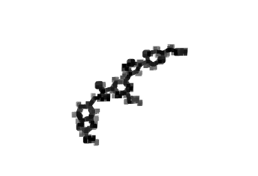 Cc1nc(C(=O)NCc2ccc3oc(C)nc3c2)cc(C2=NOC(C3CO[C@H](CO)CO3)C2)n1